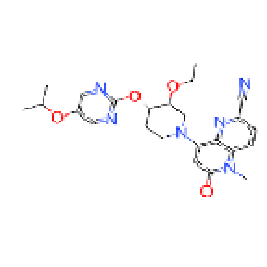 CCO[C@H]1CN(c2cc(=O)n(C)c3ccc(C#N)nc23)CC[C@@H]1Oc1ncc(OC(C)C)cn1